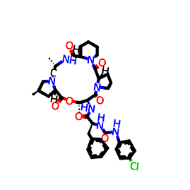 C[C@@H]1C[C@H]2C(=O)O[C@@H](C)[C@H](NC(=O)[C@H](Cc3ccccc3)NC(=O)Nc3ccc(Cl)cc3)C(=O)N3CCC[C@H]3C(=O)N3CCCC[C@H]3C(=O)N[C@@H](C)CN2C1